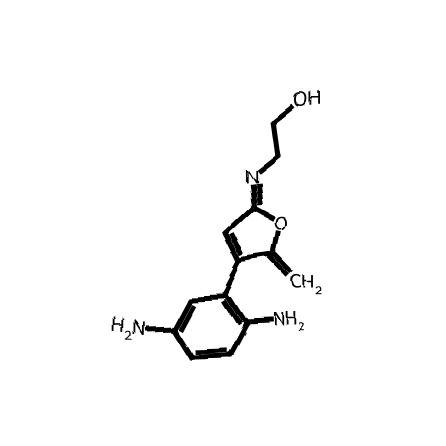 C=C1OC(=NCCO)C=C1c1cc(N)ccc1N